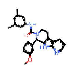 COc1cccc(C2c3[nH]c4ncccc4c3CCN2C(=O)Nc2cc(C)cc(C)c2)c1